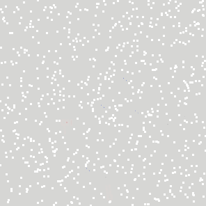 CN(CCO)C(=O)c1ccc2c(c1)N(c1ncc(-c3cc(F)cc(F)c3)cn1)CC21CC1